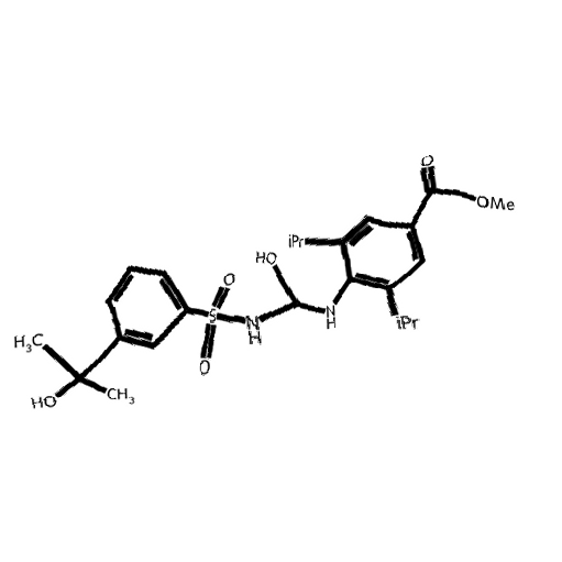 COC(=O)c1cc(C(C)C)c(NC(O)NS(=O)(=O)c2cccc(C(C)(C)O)c2)c(C(C)C)c1